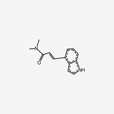 CN(C)C(=O)C=Cc1cccc2[nH]ccc12